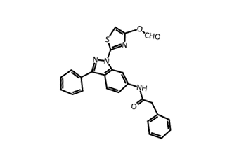 O=COc1csc(-n2nc(-c3ccccc3)c3ccc(NC(=O)Cc4ccccc4)cc32)n1